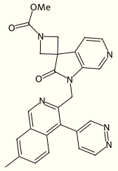 COC(=O)N1CC2(C1)C(=O)N(Cc1ncc3cc(C)ccc3c1-c1ccnnc1)c1cnccc12